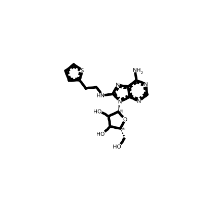 Nc1ncnc2c1nc(NCCc1cccs1)n2[C@@H]1O[C@H](CO)C(O)C1O